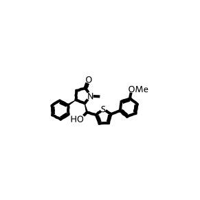 COc1cccc(-c2ccc(C(O)[C@H]3[C@@H](c4ccccc4)CC(=O)N3C)s2)c1